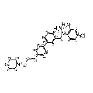 Nc1cc(Cl)ccc1N(N)Cc1cccc(-c2ncc(CCCN3CCOCC3)cn2)c1